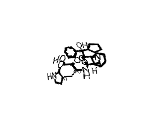 O=C1NCC[C@@H]1C[C@@H](NC(=O)[C@@H]1C2CCC(CC2)N1C(=O)[C@](O)(c1ccccc1)C1CCCC1)C(=O)CO